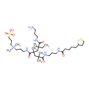 CCC(C)(CC(C)(CC(C)(C)C(=O)NCCCNC(=O)CCCCC1CCSS1)C(=O)NCCC[N+](C)(C)CCCS(=O)(=O)O)C(=O)NCCCN